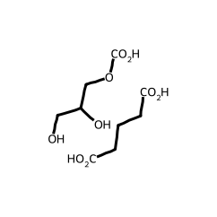 O=C(O)CCCC(=O)O.O=C(O)OCC(O)CO